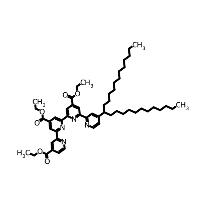 CCCCCCCCCCCCC(CCCCCCCCCCCC)c1ccnc(-c2cc(C(=O)OCC)cc(-c3cc(C(=O)OCC)cc(-c4cc(C(=O)OCC)ccn4)n3)n2)c1